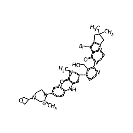 C[C@H]1CN(C2COC2)CCN1c1ccc(Nc2cc(-c3ccnc(-n4ccn5c6c(c(Br)c5c4=O)CC(C)(C)C6)c3CO)cn(C)c2=O)nc1